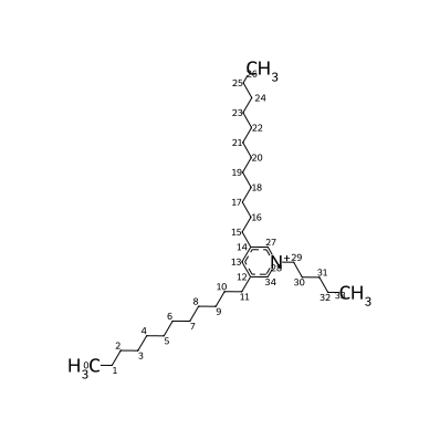 CCCCCCCCCCCCc1cc(CCCCCCCCCCCC)c[n+](CCCCC)c1